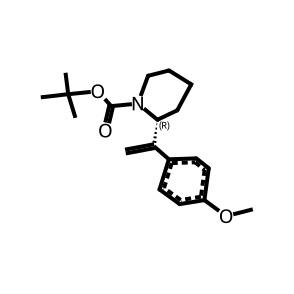 C=C(c1ccc(OC)cc1)[C@H]1CCCCN1C(=O)OC(C)(C)C